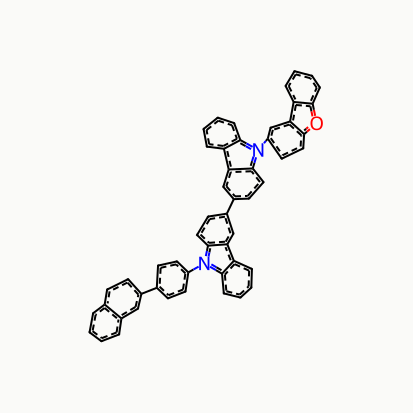 c1ccc2cc(-c3ccc(-n4c5ccccc5c5cc(-c6ccc7c(c6)c6ccccc6n7-c6ccc7oc8ccccc8c7c6)ccc54)cc3)ccc2c1